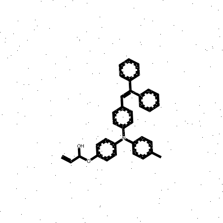 C=CC(O)Oc1ccc(N(c2ccc(C)cc2)c2ccc(C=C(c3ccccc3)c3ccccc3)cc2)cc1